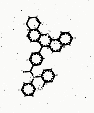 CCC(c1ccc(-c2c3ccc4c(c3nc3c2ccc2ccccc23)C=CCC4)cc1)N(c1ccccc1)c1ccccc1N